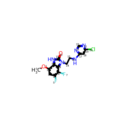 COc1cc(F)c(F)c2c1[nH]c(=O)n2CCNc1cc(Cl)ncn1